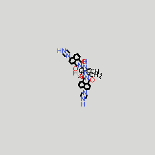 CCC(NC(C)N1C(=O)c2cccc3c(N4CCNCC4)ccc(c23)C1=O)N(C)C(C)N1C(=O)c2cccc3c(N4CCNCC4)ccc(c23)C1=O